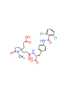 CN1C(=O)CCC1(CCC(=O)O)CCC(=O)N[C@@H](Cc1ccc(NC(=O)c2c(Cl)cccc2Cl)cc1)C(=O)O